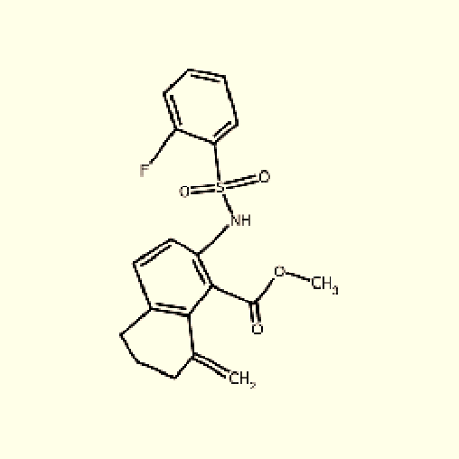 C=C1CCCc2ccc(NS(=O)(=O)c3ccccc3F)c(C(=O)OC)c21